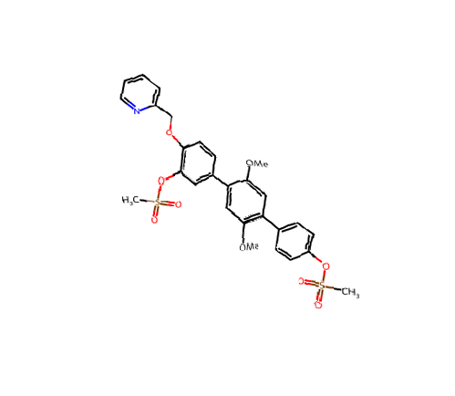 COc1cc(-c2ccc(OCc3ccccn3)c(OS(C)(=O)=O)c2)c(OC)cc1-c1ccc(OS(C)(=O)=O)cc1